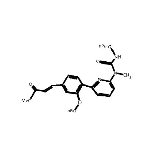 CCCCCNC(=O)N(C)c1cccc(-c2ccc(/C=C/C(=O)OC)cc2OCCCC)n1